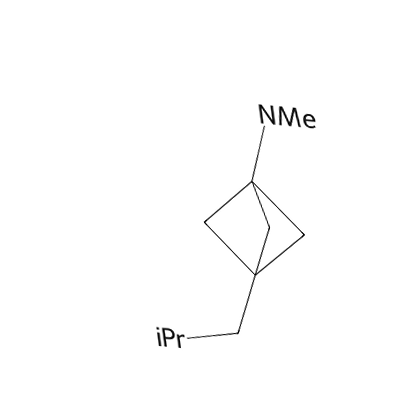 CNC12CC(CC(C)C)(C1)C2